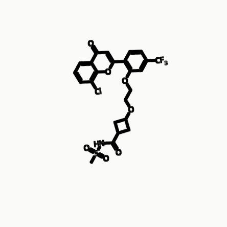 CS(=O)(=O)NC(=O)C1CC(OCCOc2cc(C(F)(F)F)ccc2-c2cc(=O)c3cccc(Cl)c3o2)C1